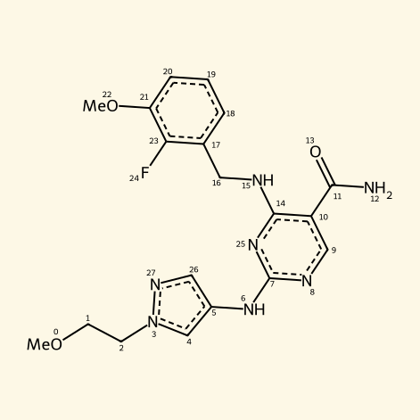 COCCn1cc(Nc2ncc(C(N)=O)c(NCc3cccc(OC)c3F)n2)cn1